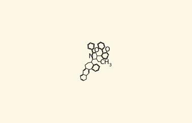 CCC1C(C2CCC3=CC4=CC=CCC4C=C3c3ccccc32)=Nc2c(oc3ccccc23)C1c1cccc2oc3ccccc3c12